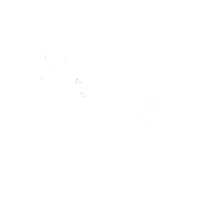 CCOC(=O)C1CCC(n2ccc(C(F)(F)F)n2)CC1